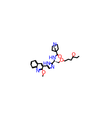 CCC(=O)CCCOC[C@H](NC(=O)C12CCN(CC1)CC2)c1ncc(-c2cc3ccccc3nc2OC)[nH]1